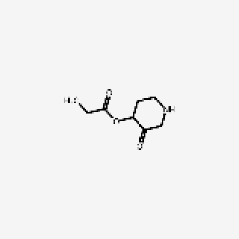 CCC(=O)OC1CCNCC1=O